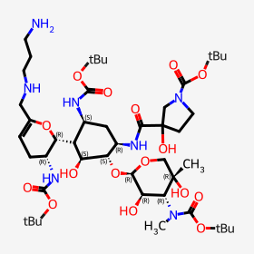 CN(C(=O)OC(C)(C)C)[C@@H]1[C@@H](O)[C@@H](O[C@H]2[C@H](NC(=O)C3(O)CCN(C(=O)OC(C)(C)C)C3)C[C@H](NC(=O)OC(C)(C)C)C([C@H]3OC(CNCCCN)=CC[C@H]3NC(=O)OC(C)(C)C)[C@@H]2O)OC[C@]1(C)O